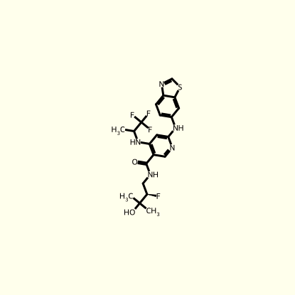 CC(Nc1cc(Nc2ccc3ncsc3c2)ncc1C(=O)NC[C@@H](F)C(C)(C)O)C(F)(F)F